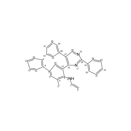 C=CNc1c(C)cc(-c2ccccc2)cc1-c1nc(-c2ccccc2)ncc1-c1ccccc1